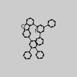 c1ccc(-c2cc(-c3ccccc3)nc(-c3cccc4oc5ccc(-c6ccc(-c7ccccc7)c(-c7ccccc7)c6)cc5c34)c2)cc1